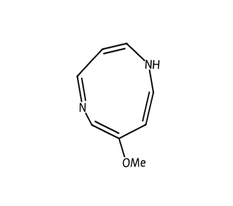 COc1cc[nH]cccnc1